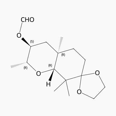 C[C@H]1O[C@H]2C(C)(C)C3(CC[C@]2(C)C[C@@H]1OC=O)OCCO3